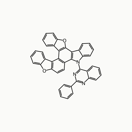 c1ccc(-c2nc(-n3c4ccccc4c4c5oc6ccccc6c5c5c(ccc6oc7ccccc7c65)c43)c3ccccc3n2)cc1